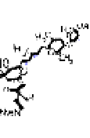 CNCCNC(=O)C[C@@H]1C[C@@]2(CO2)[C@H](O)[C@@H](/C=C/C(C)=C/C[C@@H]2O[C@H](C)[C@H](NC(=O)/C=C\[C@H](C)OC(C)=O)C[C@@H]2C)O1